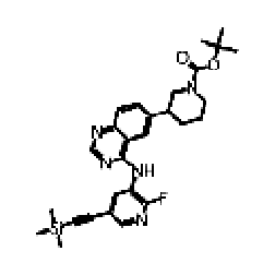 CC(C)(C)OC(=O)N1CCCC(c2ccc3ncnc(Nc4cc(C#C[Si](C)(C)C)cnc4F)c3c2)C1